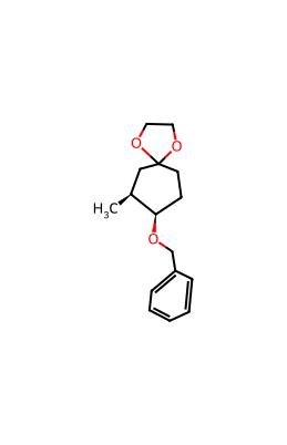 C[C@H]1CC2(CC[C@H]1OCc1ccccc1)OCCO2